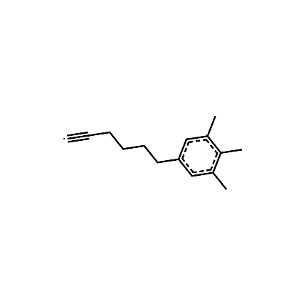 [C]#CCCCCc1cc(C)c(C)c(C)c1